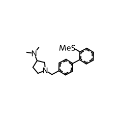 CSc1ccccc1-c1ccc(CN2CCC(N(C)C)C2)cc1